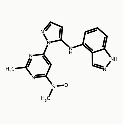 Cc1nc(-n2nccc2Nc2cccc3[nH]ncc23)cc([S+](C)[O-])n1